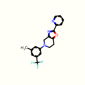 Cc1cc(N2CCc3oc(-c4ccccn4)nc3C2)cc(C(F)(F)F)c1